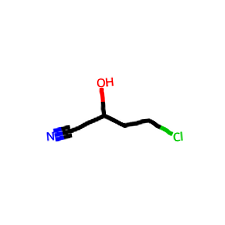 N#CC(O)CCCl